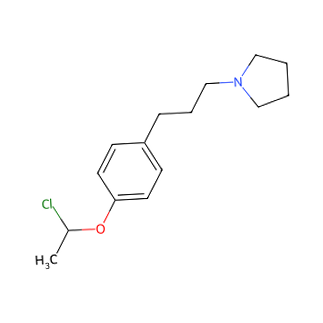 CC(Cl)Oc1ccc(CCCN2CCCC2)cc1